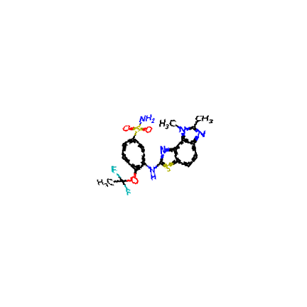 Cc1nc2ccc3sc(Nc4cc(S(N)(=O)=O)ccc4OC(C)(F)F)nc3c2n1C